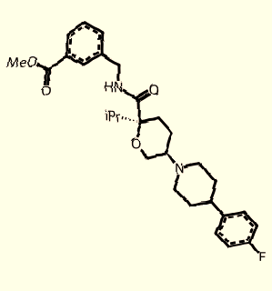 COC(=O)c1cccc(CNC(=O)[C@@]2(C(C)C)CC[C@@H](N3CCC(c4ccc(F)cc4)CC3)CO2)c1